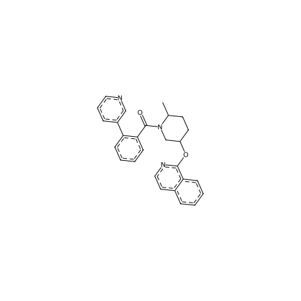 CC1CCC(Oc2nccc3ccccc23)CN1C(=O)c1ccccc1-c1cccnc1